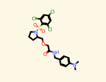 CN(C)c1ccc(CNC(=O)COCC2CCCN2S(=O)(=O)c2c(Cl)cc(Cl)cc2Cl)cc1